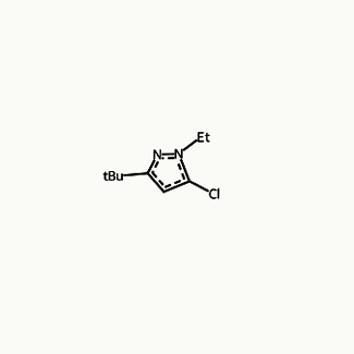 CCn1nc(C(C)(C)C)cc1Cl